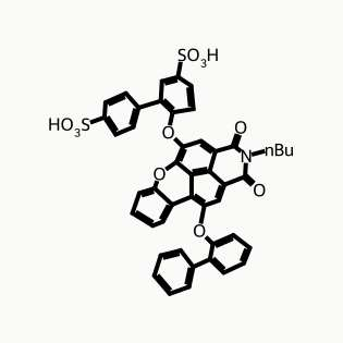 CCCCn1c(=O)c2cc(Oc3ccc(S(=O)(=O)O)cc3-c3ccc(S(=O)(=O)O)cc3)c3oc4ccccc4c4c(Oc5ccccc5-c5ccccc5)cc(c1=O)c2c34